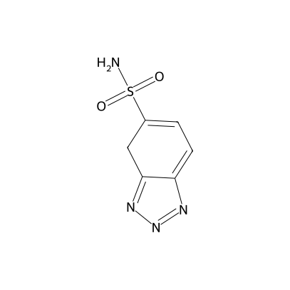 NS(=O)(=O)C1=CC=C2N=NN=C2C1